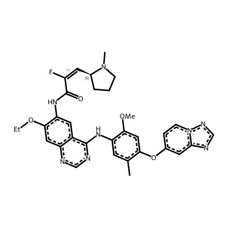 CCOc1cc2ncnc(Nc3cc(C)c(Oc4ccn5ncnc5c4)cc3OC)c2cc1NC(=O)/C(F)=C\[C@@H]1CCCN1C